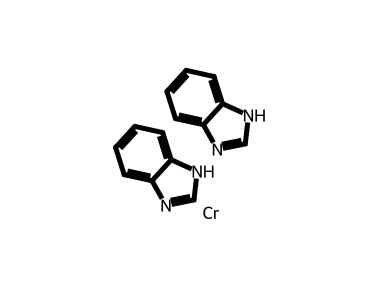 [Cr].c1ccc2[nH]cnc2c1.c1ccc2[nH]cnc2c1